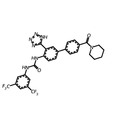 O=C(Nc1cc(C(F)(F)F)cc(C(F)(F)F)c1)Nc1ccc(-c2ccc(C(=O)N3CCCCC3)cc2)cc1-c1nnn[nH]1